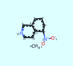 C.O=[N+]([O-])c1cccc2cnccc12